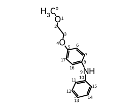 COCCOc1ccc(Nc2cc[c]cc2)cc1